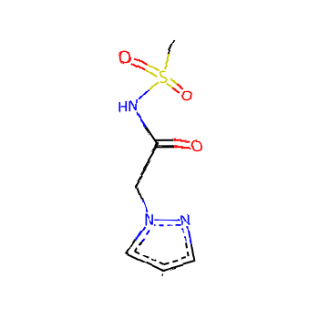 CS(=O)(=O)NC(=O)Cn1c[c]cn1